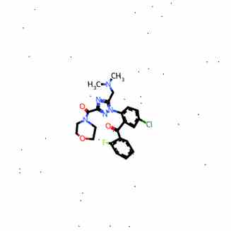 CN(C)Cc1nc(C(=O)N2CCOCC2)nn1-c1ccc(Cl)cc1C(=O)c1ccccc1F